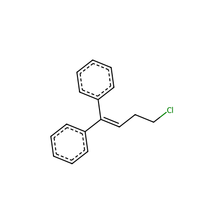 ClCCC=C(c1ccccc1)c1ccccc1